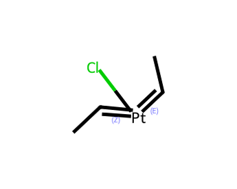 C/[CH]=[Pt](\[Cl])=[CH]/C